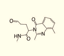 CNC(=O)C(CCC=O)n1c(C)nc2c(C)cccc2c1=O